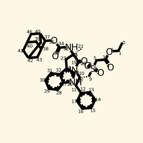 CCOC(=O)CS(=O)(=O)C[C@H](Cc1ccccc1)NC(=O)[C@@](C)(Cc1c[nH]c2ccccc12)NC(=O)OC1C2CC3CC(C2)CC1C3